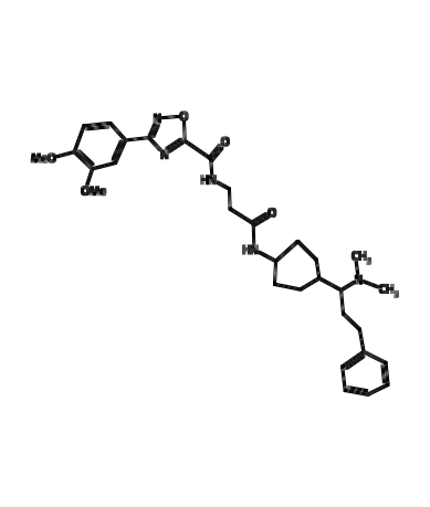 COc1ccc(-c2noc(C(=O)NCCC(=O)NC3CCC(C(CCc4ccccc4)N(C)C)CC3)n2)cc1OC